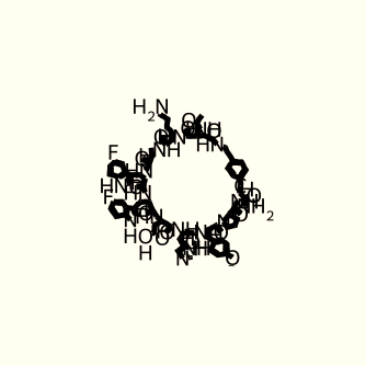 COc1ccc(C[C@@H]2NC(=O)[C@H](Cc3cnc[nH]3)NC(=O)[C@H](CC(=O)O)NC(=O)[C@H](Cc3c[nH]c4ccc(F)cc34)NC(=O)[C@H](Cc3c[nH]c4ccc(F)cc34)NC(=O)[C@@H](C)NC(=O)[C@H](CCCCN)NC(=O)[C@@H](NC(C)=O)CC(=O)NCc3ccc(cc3)C[C@@H](C(N)=O)NC(=O)[C@]3(C)CCCN3C2=O)cc1